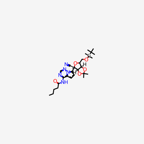 CCCCC(=O)Nc1ncnn2c([C@]3(C#N)OC(CO[Si](C)(C)C(C)(C)C)[C@H]4OC(C)(C)O[C@H]43)ccc12